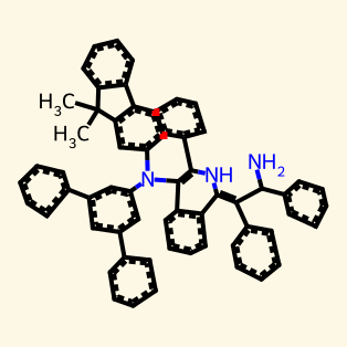 CC1(C)c2ccccc2-c2ccc(N(C3=C(c4ccccc4)N/C(=C(/c4ccccc4)C(N)c4ccccc4)c4ccccc43)c3cc(-c4ccccc4)cc(-c4ccccc4)c3)cc21